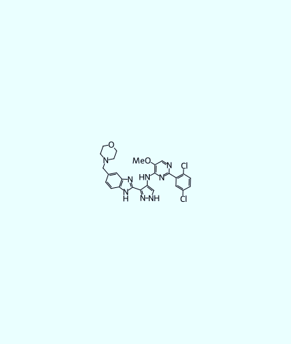 COc1cnc(-c2cc(Cl)ccc2Cl)nc1Nc1c[nH]nc1-c1nc2cc(CN3CCOCC3)ccc2[nH]1